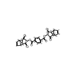 O=C(ON1C(=O)C2C3C=CC(C3)C2C1=O)c1ccc(C(=O)ON2C(=O)C3C4C=CC(C4)C3C2=O)cc1